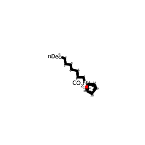 CCCCCCCCCCCCCCCCCC(=O)O.c1cc2ccc1cc2